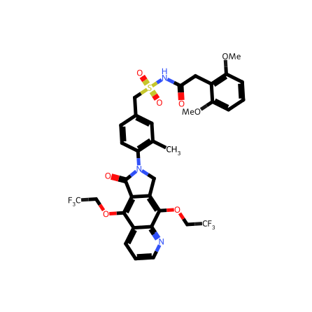 COc1cccc(OC)c1CC(=O)NS(=O)(=O)Cc1ccc(N2Cc3c(c(OCC(F)(F)F)c4cccnc4c3OCC(F)(F)F)C2=O)c(C)c1